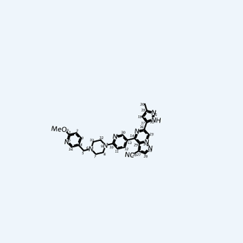 COc1ccc(CN2CCN(c3ccc(-c4nc(-c5cc(C)n[nH]5)cn5ncc(C#N)c45)cn3)CC2)cn1